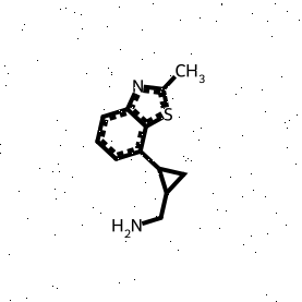 Cc1nc2cccc(C3CC3CN)c2s1